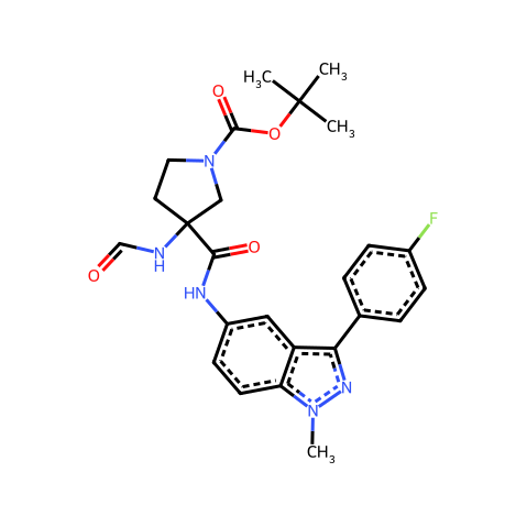 Cn1nc(-c2ccc(F)cc2)c2cc(NC(=O)C3(NC=O)CCN(C(=O)OC(C)(C)C)C3)ccc21